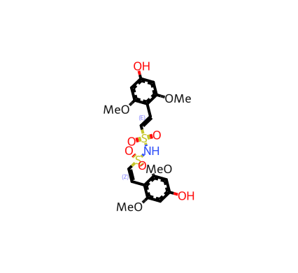 COc1cc(O)cc(OC)c1/C=C\S(=O)(=O)NS(=O)(=O)/C=C/c1c(OC)cc(O)cc1OC